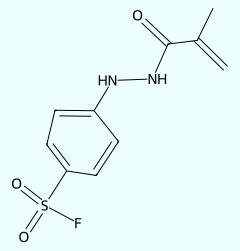 C=C(C)C(=O)NNc1ccc(S(=O)(=O)F)cc1